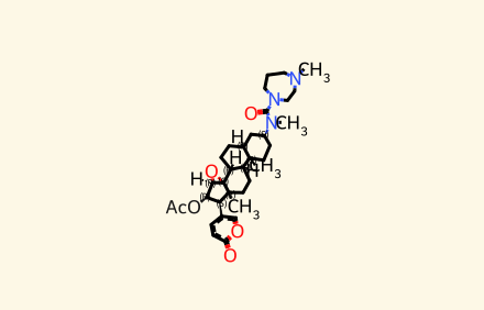 CC(=O)O[C@H]1[C@H]2O[C@]23[C@@H]2CC[C@@H]4C[C@@H](N(C)C(=O)N5CCCN(C)CC5)CC[C@]4(C)[C@H]2CC[C@]3(C)[C@H]1c1ccc(=O)oc1